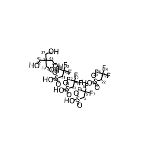 O=S(=O)(O)CC(F)(F)F.O=S(=O)(O)CC(F)(F)F.O=S(=O)(O)CC(F)(F)F.O=S(=O)(O)CC(F)(F)F.OCC(CO)(CO)CO